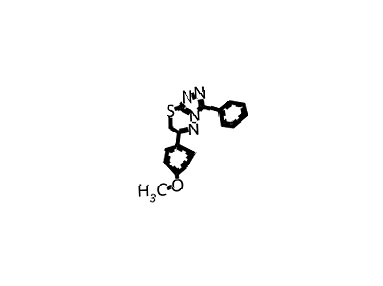 COc1ccc(C2=Nn3c(nnc3-c3ccccc3)SC2)cc1